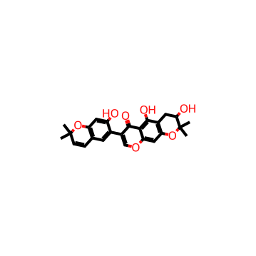 CC1(C)C=Cc2cc(-c3coc4cc5c(c(O)c4c3=O)CC(O)C(C)(C)O5)c(O)cc2O1